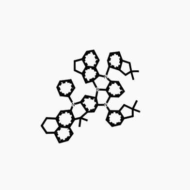 CC1(C)Cc2cccc(N3c4cc5c(cc4B4c6cc7c8c(cccc8c6N(c6cccc8c6CC(C)(C)C8)c6cccc3c64)CC7)N(c3ccccc3)c3cc4c6c(cccc6c3C5(C)C)CCC4)c2C1